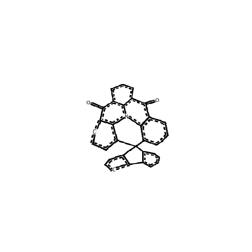 O=c1c2cccc3c2n2c4c(cccc4c(=O)c4cccc1c42)C31c2ccccc2-c2ccccc21